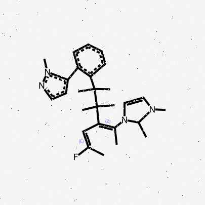 C/C(=C(\C=C(/C)F)C(C)(C)C(C)(C)c1ccccc1-c1ccnn1C)N1C=CN(C)C1C